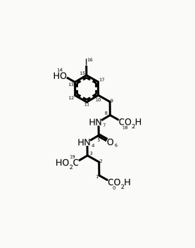 O=C(O)CCC(NC(=O)NC(Cc1ccc(O)c(I)c1)C(=O)O)C(=O)O